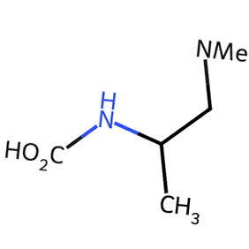 CNCC(C)NC(=O)O